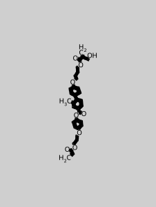 C=CC(=O)OCCCOc1ccc(OC(=O)c2ccc(-c3ccc(OCCCCOC(=O)C(=C)CO)cc3)c(C)c2)cc1